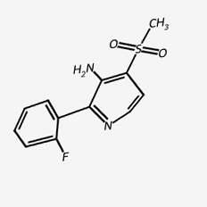 CS(=O)(=O)c1ccnc(-c2ccccc2F)c1N